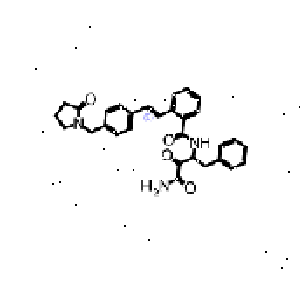 NC(=O)C(=O)C(Cc1ccccc1)NC(=O)c1ccccc1/C=C/c1ccc(CN2CCCC2=O)cc1